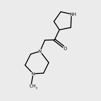 CN1CCN(CC(=O)C2CCNC2)CC1